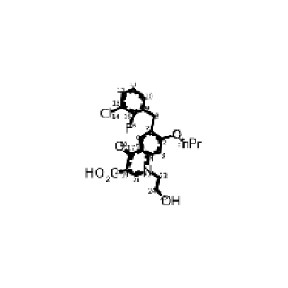 CCCOc1cc2c(cc1Cc1cccc(Cl)c1F)c(=O)c(C(=O)O)cn2CCO